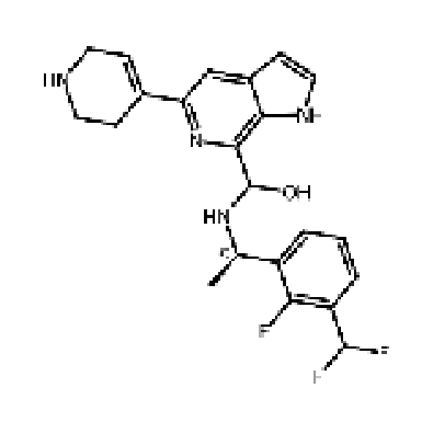 C[C@@H](NC(O)c1nc(C2=CCNCC2)cc2cc[nH]c12)c1cccc(C(F)F)c1F